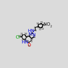 O=C1Cc2cnc(NCCc3ccc([N+](=O)[O-])cc3)nc2C2=CC=C(Cl)CC2N1